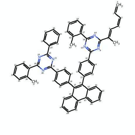 C=C/C=C\C=C(/C)c1nc(-c2ccc(-c3c(-c4ccc(-c5nc(-c6ccccc6)nc(-c6ccccc6C)n5)cc4)c4ccccc4c4ccccc34)cc2)nc(-c2ccccc2C)n1